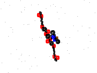 C=CC(=O)OCCCCCCOc1ccc(C(=O)Oc2ccc(OC(=O)c3ccc(OCCCCCCOC(=O)C=C)cc3)c(/C=N/N(CC3C=CC=CC3)c3nc4ccccc4s3)c2)cc1